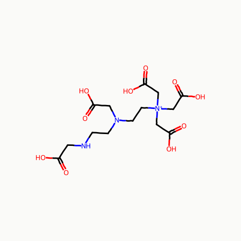 O=C(O)CNCCN(CC[N+](CC(=O)O)(CC(=O)O)CC(=O)O)CC(=O)O